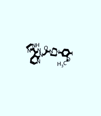 COc1cc(N2CCN(C(=O)Cn3nc(-c4ncc[nH]4)c4cccnc43)CC2)ccc1I